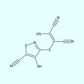 N#CC(S)=C(C#N)Sc1nsc(C#N)c1S